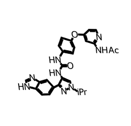 CC(=O)Nc1cc(Oc2ccc(NC(=O)Nc3cn(C(C)C)nc3-c3ccc4[nH]cnc4c3)cc2)ccn1